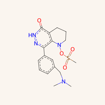 CN(C)Cc1cccc(-c2n[nH]c(=O)c3c2N(OS(C)(=O)=O)CCC3)c1